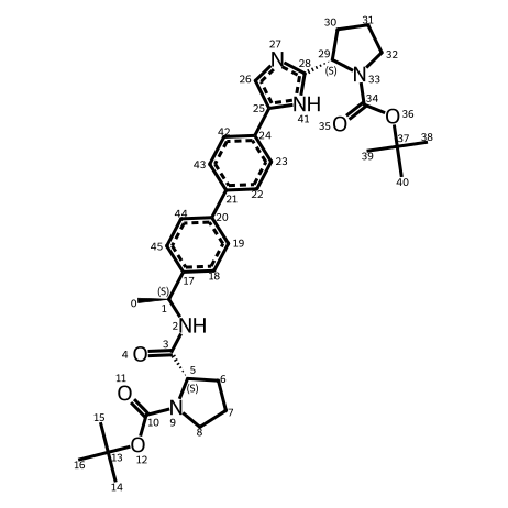 C[C@H](NC(=O)[C@@H]1CCCN1C(=O)OC(C)(C)C)c1ccc(-c2ccc(-c3cnc([C@@H]4CCCN4C(=O)OC(C)(C)C)[nH]3)cc2)cc1